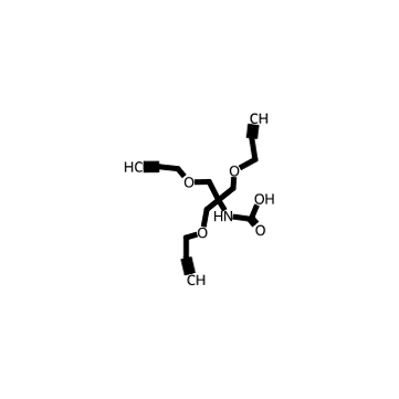 C#CCOCC(COCC#C)(COCC#C)NC(=O)O